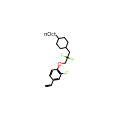 C=Cc1ccc(OCC(F)(F)CC2CCC(CCCCCCCC)CC2)c(F)c1